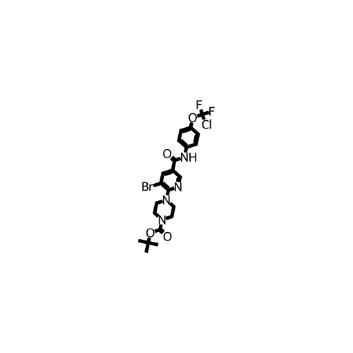 CC(C)(C)OC(=O)N1CCN(c2ncc(C(=O)Nc3ccc(OC(F)(F)Cl)cc3)cc2Br)CC1